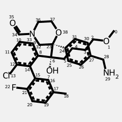 COCCCC[C@@](O)(c1cccc(Cl)c1-c1cc(C)ccc1F)[C@@]1(c2ccc(CN)cc2)CN(C=O)CCO1